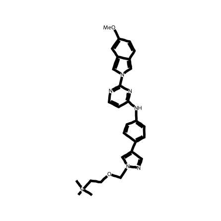 COc1ccc2cn(-c3nccc(Nc4ccc(-c5cnn(COCC[Si](C)(C)C)c5)cc4)n3)cc2c1